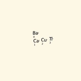 [Ba].[Ca].[Cu].[Tl]